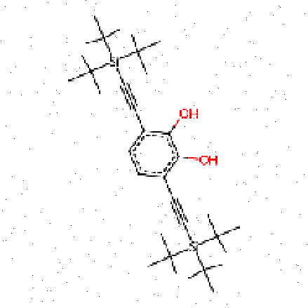 CC(C)(C)[Si](C#Cc1ccc(C#C[Si](C(C)(C)C)(C(C)(C)C)C(C)(C)C)c(O)c1O)(C(C)(C)C)C(C)(C)C